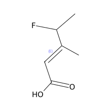 C/C(=C\C(=O)O)C(C)F